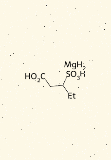 [CH2]CC(CC(=O)O)S(=O)(=O)O.[MgH2]